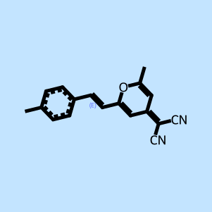 CC1=CC(=C(C#N)C#N)C=C(/C=C/c2ccc(C)cc2)O1